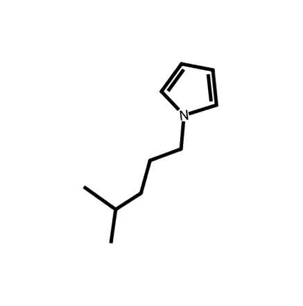 CC(C)CCCn1cccc1